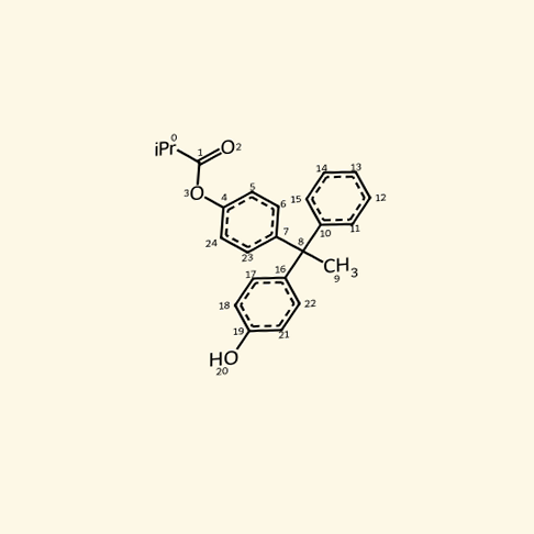 CC(C)C(=O)Oc1ccc(C(C)(c2ccccc2)c2ccc(O)cc2)cc1